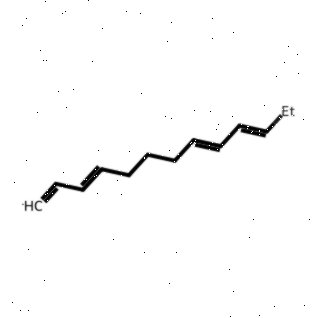 [CH]=CC=CCCCC=CC=CCC